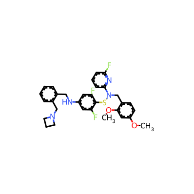 COc1ccc(CN(Sc2c(F)cc(NCc3ccccc3CN3CCC3)cc2F)c2cccc(F)n2)c(OC)c1